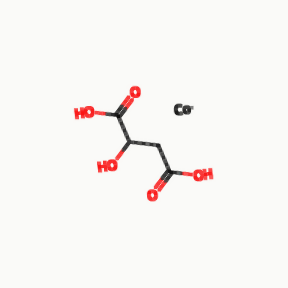 O=C(O)CC(O)C(=O)O.[Co]